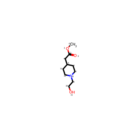 COC(=O)CC1CCN(CCO)CC1